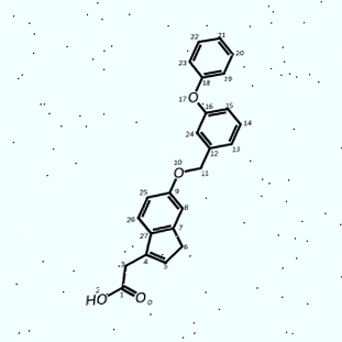 O=C(O)CC1=CCc2cc(OCc3cccc(Oc4ccccc4)c3)ccc21